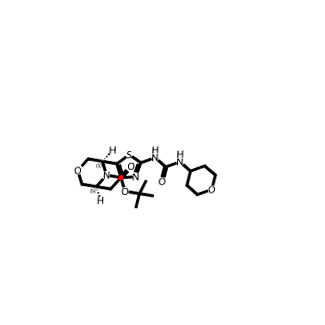 CC(C)(C)OC(=O)N1[C@@H]2COC[C@H]1c1sc(NC(=O)NC3CCOCC3)nc1C2